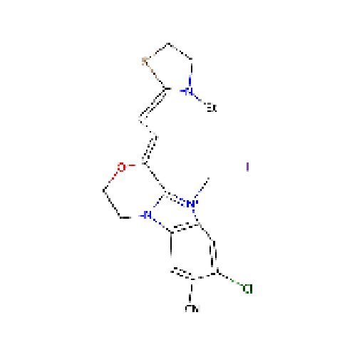 CCN1CCSC1=CC=C1OCCn2c1[n+](C)c1cc(Cl)c(C#N)cc12.[I-]